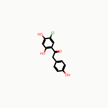 O=C(Cc1ccc(O)cc1)c1cc(Cl)c(O)cc1O